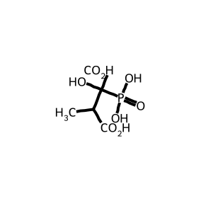 CC(C(=O)O)C(O)(C(=O)O)P(=O)(O)O